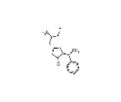 CC(CF)C[C@H]1CC(=O)N([C@@H](C)c2ccccc2)C1